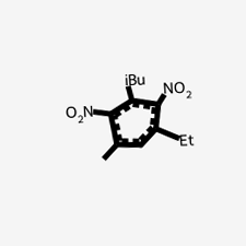 CCc1cc(C)c([N+](=O)[O-])c(C(C)CC)c1[N+](=O)[O-]